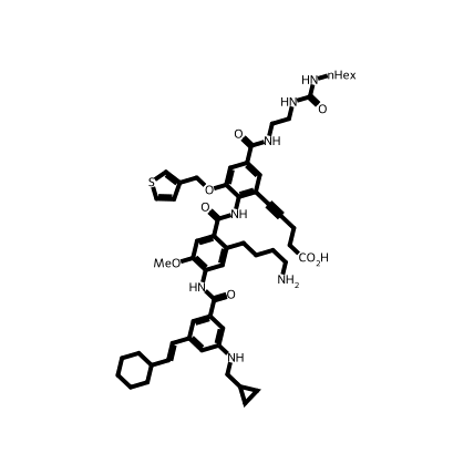 CCCCCCNC(=O)NCCNC(=O)c1cc(C#CCCC(=O)O)c(NC(=O)c2cc(OC)c(NC(=O)c3cc(/C=C/C4CCCCC4)cc(NCC4CC4)c3)cc2CCCCN)c(OCc2ccsc2)c1